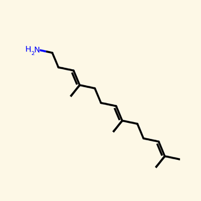 CC(C)=CCC/C(C)=C/CC/C(C)=C/CCN